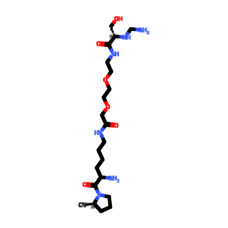 [C-]#[N+][C@@H]1CCCN1C(=O)C(N)CCCCNC(=O)COCCOCCNC(=O)[C@H](CO)NCN